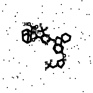 O=C(NC1(C(=O)O)C2CC3CC(C2)CC1C3)c1cnc(N2CC3(CCCCC3)c3cc(O[C@@H]4CCN(CC(F)(F)F)C4)ccc32)nc1C(F)(F)F